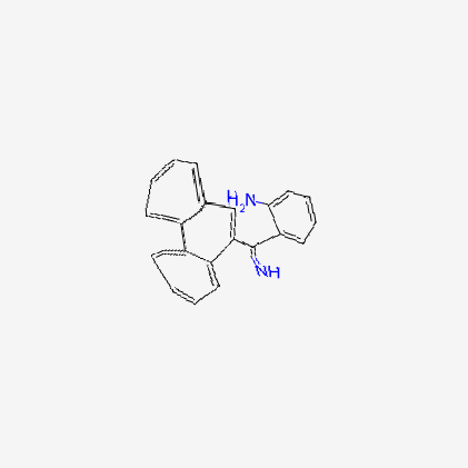 N=C(c1ccccc1N)c1cc2ccccc2c2ccccc12